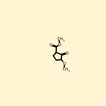 COC(=O)C1CCC(OC)C1=O